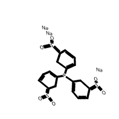 O=S(=O)=C1C=CC=C(P(C2=CC=CC(=S(=O)=O)C2)C2=CC=CC(=S(=O)=O)C2)C1.[Na].[Na].[Na]